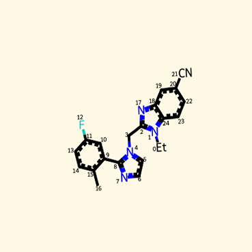 CCn1c(Cn2ccnc2-c2cc(F)ccc2C)nc2cc(C#N)ccc21